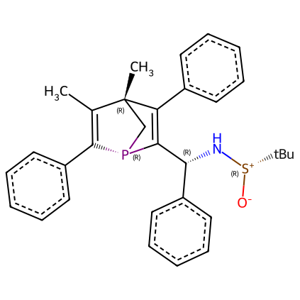 CC1=C(c2ccccc2)[P@]2C[C@@]1(C)C(c1ccccc1)=C2[C@H](N[S@@+]([O-])C(C)(C)C)c1ccccc1